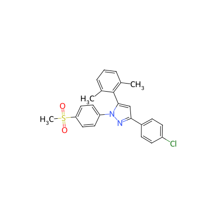 Cc1cccc(C)c1-c1cc(-c2ccc(Cl)cc2)nn1-c1ccc(S(C)(=O)=O)cc1